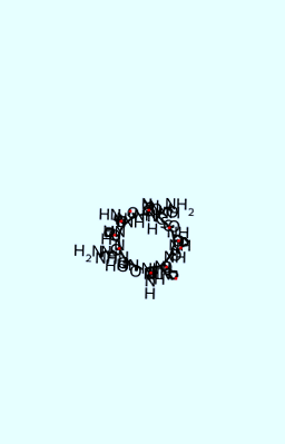 CC[C@@H]1NC(=O)[C@H](Cc2c[nH]cn2)NC(=O)[C@H](Cc2ccccc2)N(C)C(=O)[C@H](CCCNC(=N)N)NC(=O)[C@H](CO)NC(=O)CNC(=O)[C@H](Cc2c[nH]cn2)NC(=O)[C@H](Cc2c[nH]c3ccccc23)NC(=O)[C@H](C(C)C)NC(=O)[C@H](Cc2ccccc2)NC(=O)CSC[C@@H](C(=O)NCC(N)=O)NC(=O)[C@H](Cc2cncn2C)NC1=O